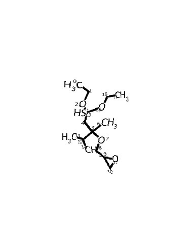 CCO[SiH](CC(C)(OCC1CO1)C(C)C)OCC